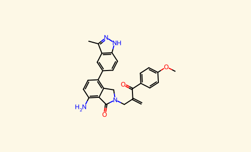 C=C(CN1Cc2c(-c3ccc4[nH]nc(C)c4c3)ccc(N)c2C1=O)C(=O)c1ccc(OC)cc1